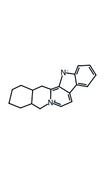 c1ccc2c(c1)[n-]c1c3[n+](ccc12)CC1CCCCC1C3